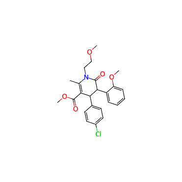 COCCN1C(=O)C(c2ccccc2OC)C(c2ccc(Cl)cc2)C(C(=O)OC)=C1C